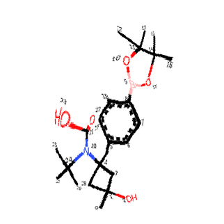 CC1(O)CC(c2ccc(B3OC(C)(C)C(C)(C)O3)cc2)(N(C(=O)O)C(C)(C)C)C1